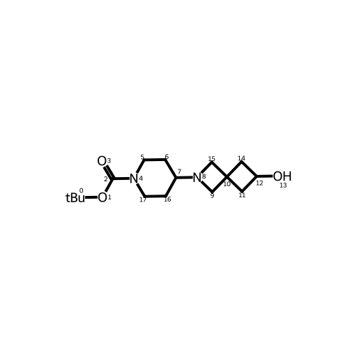 CC(C)(C)OC(=O)N1CCC(N2CC3(CC(O)C3)C2)CC1